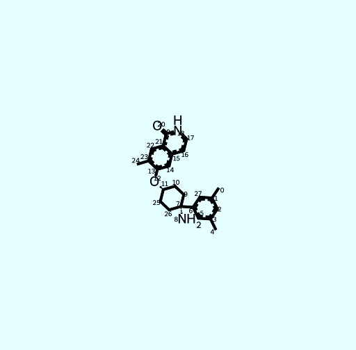 Cc1cc(C)cc([C@]2(N)CC[C@@H](Oc3cc4cc[nH]c(=O)c4cc3C)CC2)c1